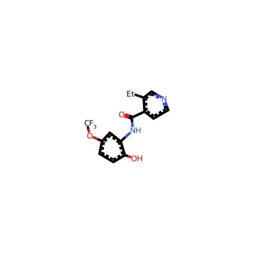 CCc1cnccc1C(=O)Nc1cc(OC(F)(F)F)ccc1O